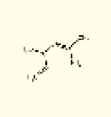 C=CN(C)/N=C(/C)N